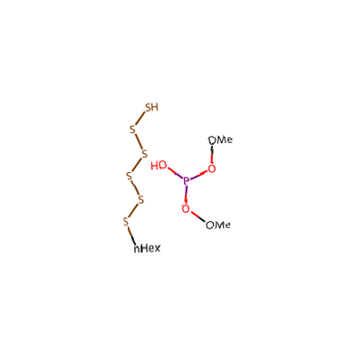 CCCCCCSSSSSS.COOP(O)OOC